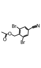 CC(=O)OCc1c(Br)cc(C#N)cc1Br